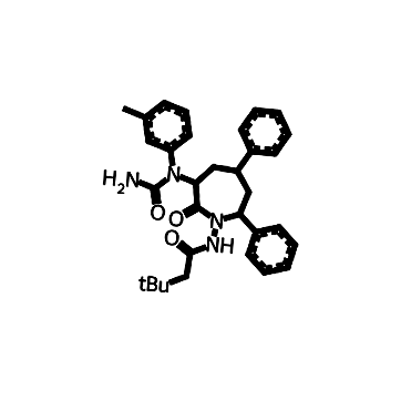 Cc1cccc(N(C(N)=O)C2CC(c3ccccc3)CC(c3ccccc3)N(NC(=O)CC(C)(C)C)C2=O)c1